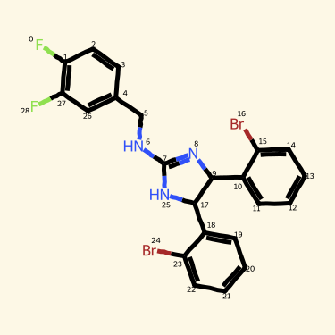 Fc1ccc(CNC2=NC(c3ccccc3Br)C(c3ccccc3Br)N2)cc1F